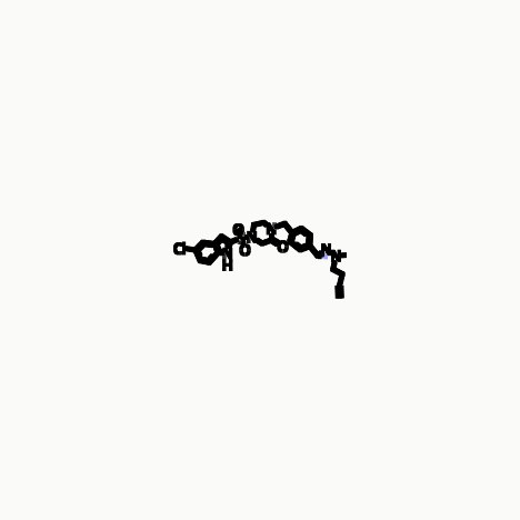 C#CCCN(C)/N=C/c1ccc(CN2CCN(S(=O)(=O)c3cc4cc(Cl)ccc4[nH]3)CC2=O)cc1